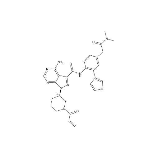 C=CC(=O)N1CCC[C@@H](n2nc(C(=O)Nc3ccc(CC(=O)N(C)C)cc3-c3ccoc3)c3c(N)ncnc32)C1